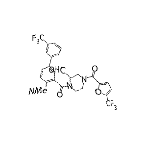 CNc1ccc(-c2cccc(C(F)(F)F)c2)cc1C(=O)N1CCN(C(=O)c2ccc(C(F)(F)F)o2)CC1C=O